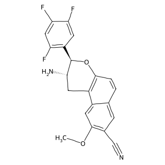 COc1cc2c3c(ccc2cc1C#N)O[C@H](c1cc(F)c(F)cc1F)[C@@H](N)C3